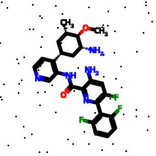 CO[C@H]1[C@H](N)C[C@H](c2ccncc2NC(=O)c2nc(-c3c(F)cccc3F)c(F)cc2N)C[C@@H]1C